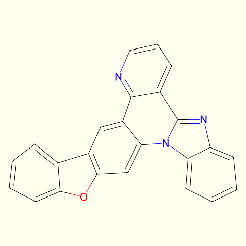 c1ccc2c(c1)nc1c3cccnc3c3cc4c(cc3n21)oc1ccccc14